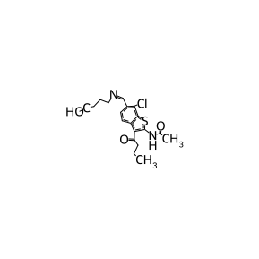 CCCC(=O)c1c(NC(C)=O)sc2c(Cl)c(/C=N\CCCCO)ccc12